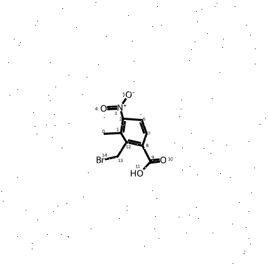 Cc1c([N+](=O)[O-])ccc(C(=O)O)c1CBr